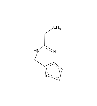 CCC1=Nc2ncsc2CN1